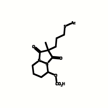 CC(=O)SCCCC1(C)C(=O)N2CCCC(OC(=O)O)N2C1=O